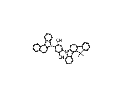 CC1(C)c2ccccc2-c2ccc3c(c21)c1ccccc1n3-c1cc(C#N)c(-n2c3ccccc3c3c4ccccc4ccc32)cc1C#N